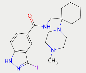 CN1CCN(C2(CNC(=O)c3ccc4[nH]nc(I)c4c3)CCCCC2)CC1